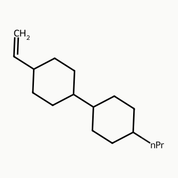 C=CC1CCC(C2CCC(CCC)CC2)CC1